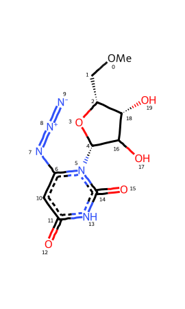 COC[C@H]1O[C@@H](n2c(N=[N+]=[N-])cc(=O)[nH]c2=O)C(O)[C@H]1O